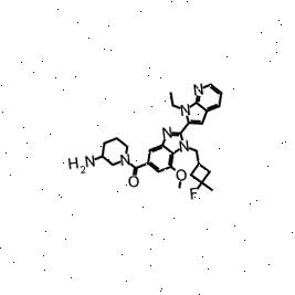 CCn1c(-c2nc3cc(C(=O)N4CCCC(N)C4)cc(OC)c3n2CC2CC(C)(F)C2)cc2cccnc21